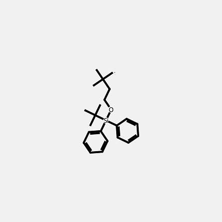 [CH2]C(C)(C)CCO[Si](c1ccccc1)(c1ccccc1)C(C)(C)C